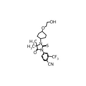 CC1(C)C(=O)N(c2ccc(C#N)c(C(F)(F)F)c2)C(=S)N1C1CCC(OCCO)CC1